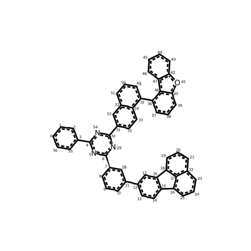 c1ccc(-c2nc(-c3cccc(-c4ccc5c(c4)-c4cccc6cccc-5c46)c3)nc(-c3ccc4c(-c5cccc6oc7ccccc7c56)cccc4c3)n2)cc1